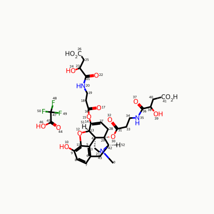 CN1CC[C@]23c4c5ccc(O)c4O[C@H]2C(OC(=O)CCNC(=O)C(O)CC(=O)O)=CC[C@@]3(OC(=O)CCNC(=O)C(O)CC(=O)O)[C@H]1C5.O=C(O)C(F)(F)F